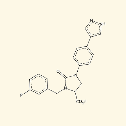 O=C(O)C1CN(c2ccc(-c3cn[nH]c3)cc2)C(=O)N1Cc1cccc(F)c1